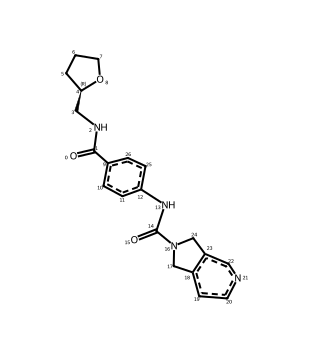 O=C(NC[C@H]1CCCO1)c1ccc(NC(=O)N2Cc3ccncc3C2)cc1